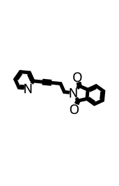 O=C1c2ccccc2C(=O)N1CCC#Cc1ccccn1